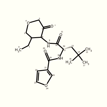 CCC1COCC(=O)C1NC(=O)[C@H](CC(C)(C)C)NC(=O)c1ccoc1